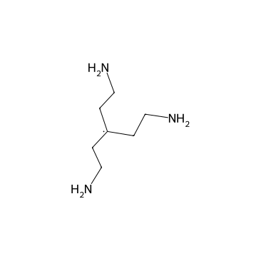 NCC[C](CCN)CCN